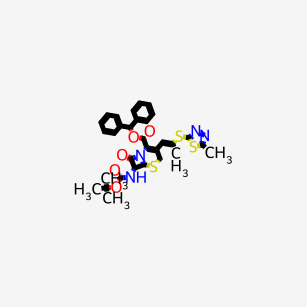 C/C(=C\C1=C(C(=O)OC(c2ccccc2)c2ccccc2)N2C(=O)C(NC(=O)OC(C)(C)C)C2SC1)Sc1nnc(C)s1